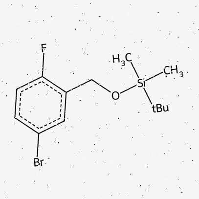 CC(C)(C)[Si](C)(C)OCc1cc(Br)ccc1F